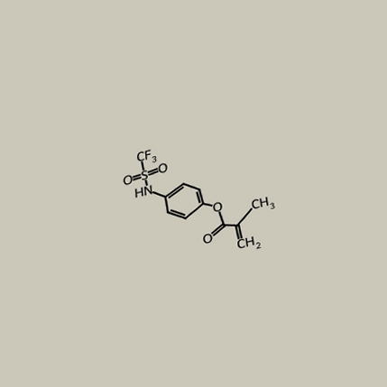 C=C(C)C(=O)Oc1ccc(NS(=O)(=O)C(F)(F)F)cc1